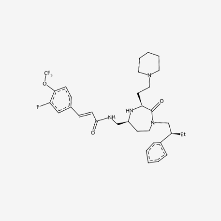 CC[C@H](CN1CC[C@@H](CNC(=O)/C=C/c2ccc(OC(F)(F)F)c(F)c2)N[C@@H](CCN2CCCCC2)C1=O)c1ccccc1